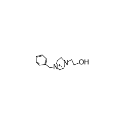 OCCN1CC[N+](Cc2ccccc2)CC1